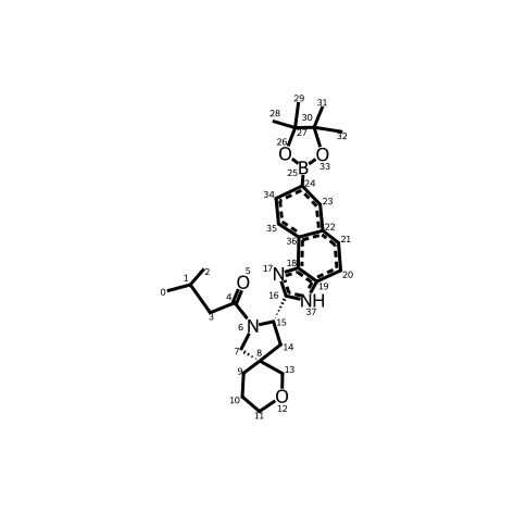 CC(C)CC(=O)N1C[C@]2(CCCOC2)C[C@H]1c1nc2c(ccc3cc(B4OC(C)(C)C(C)(C)O4)ccc32)[nH]1